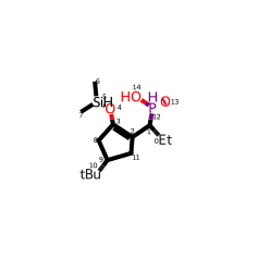 CCC(C1=C(O[SiH](C)C)CC(C(C)(C)C)C1)[PH](=O)O